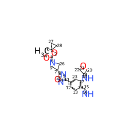 CC1(OC(=O)N2CC(c3nc(-c4ccc(C=N)c(NC5COC5)c4)no3)C2)CC1